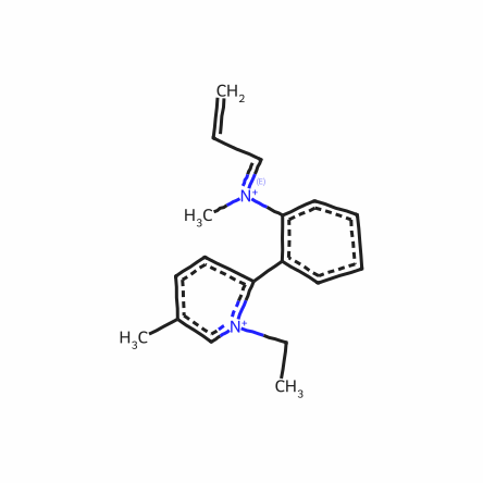 C=C/C=[N+](\C)c1ccccc1-c1ccc(C)c[n+]1CC